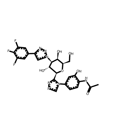 CC(=O)Nc1ccc(-n2cnnc2[C@@H]2O[C@H](CO)[C@H](O)[C@H](n3cc(-c4cc(F)c(F)c(F)c4)nn3)[C@H]2O)cc1O